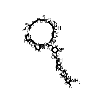 CO[C@H]1C[C@@H]2CC[C@@H](C)[C@@](O)(O2)C(=O)C(=O)N2CCCC[C@H]2C(=O)O[C@H]([C@H](C)C[C@@H]2CC[C@@H](OC(=O)NCc3cnc(N4CCN(c5ncc(C)c(N)n5)CC4)nc3)[C@H](OC)C2)CC(=O)[C@H](C)/C=C(\C)[C@@H](O)[C@@H](OC)C(=O)[C@H](C)C[C@H](C)/C=C/C=C/C=C/1C